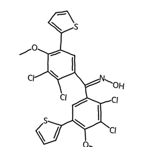 COc1c(-c2cccs2)cc(C(=NO)c2cc(-c3cccs3)c(OC)c(Cl)c2Cl)c(Cl)c1Cl